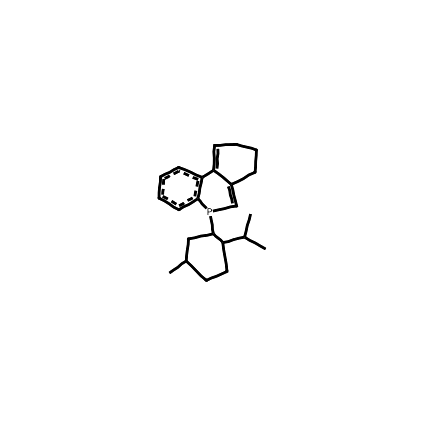 CC1CCC(C(C)C)C(P2C=C3CCCC=C3c3ccccc32)C1